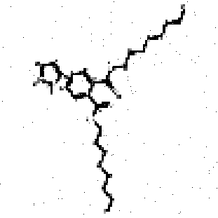 CCCCCCCCOC(=O)c1ccccc1C(=O)OCCCCCCCC.c1cn[nH]c1